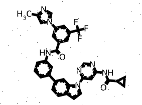 Cc1cn(-c2cc(C(=O)Nc3cccc(-c4ccc5ccn(-c6cc(NC(=O)C7CC7)ncn6)c5c4)c3)cc(C(F)(F)F)c2)cn1